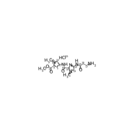 COC(=O)c1cc(NC(=O)c2nc(NC(=O)CCN)cn2C)cn1C.Cl